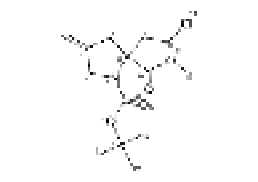 C=C1CN(C(=O)OC(C)(C)C)C(CCCl)(C(=O)OC)C1